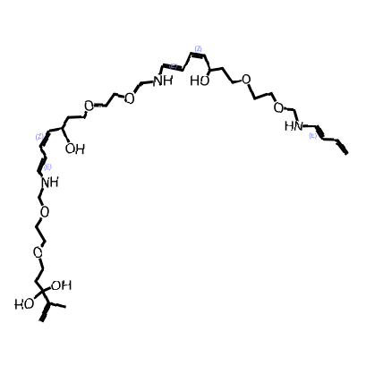 C=C/C=C/NCOCCOCCC(O)/C=C\C=C\NCOCCOCCC(O)/C=C\C=C\NCOCCOCCC(O)(O)C(=C)C